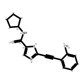 Cc1ccccc1C#Cc1ncc(C(=O)NC2CCCC2)s1